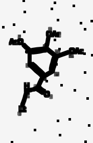 CCNC(=O)c1cc(OC(C)=O)c(OC(C)=O)c(OC(C)=O)c1